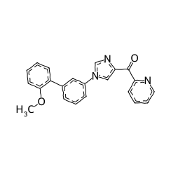 COc1ccccc1-c1cccc(-n2cnc(C(=O)c3ccccn3)c2)c1